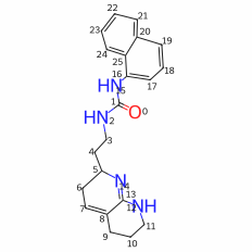 O=C(NCCC1CC=C2CCCNC2=N1)Nc1cccc2ccccc12